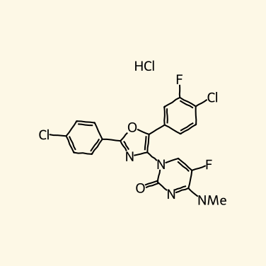 CNc1nc(=O)n(-c2nc(-c3ccc(Cl)cc3)oc2-c2ccc(Cl)c(F)c2)cc1F.Cl